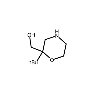 CCCCC1(CO)CNCCO1